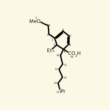 CCC1C(CCOC)=CC=CC1(CCCCCC(C)C)C(=O)O